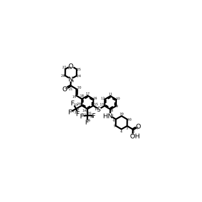 O=C(O)C1CCC(Nc2ccccc2Sc2ccc(C=CC(=O)N3CCOCC3)c(C(F)(F)F)c2C(F)(F)F)CC1